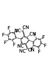 N#CC(C#N)=c1c(C#N)c(-c2c(F)c(F)c(F)c(F)c2F)c(=C(C#N)C#N)c(C#N)c1-c1c(F)c(F)c(F)c(F)c1F